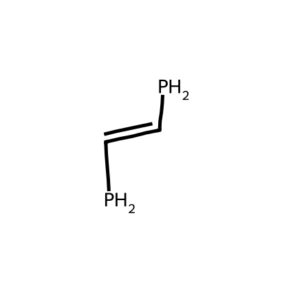 P/C=C/P